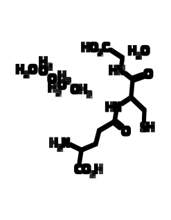 NC(CCC(=O)NC(CS)C(=O)NCC(=O)O)C(=O)O.O.O.O.O.O.O